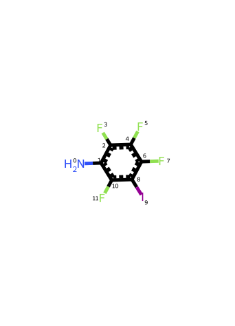 Nc1c(F)c(F)c(F)c(I)c1F